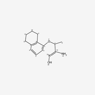 CC(Oc1cccc2c1CCCC2)C(N)=NO